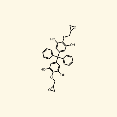 Oc1cc(C(c2ccccc2)(c2ccccc2)c2cc(O)c(OCC3CO3)c(O)c2)cc(O)c1OCC1CO1